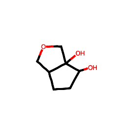 OC1CCC2COCC12O